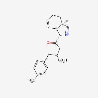 Cc1ccc(CC(CC(=O)[C@H]2[N+]#C[C@@H]3CCC=CC32)C(=O)O)cc1